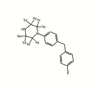 [2H]C1([2H])NC([2H])([2H])C([2H])([2H])N(c2ccc(Cc3ccc(F)cc3)cc2)C1([2H])[2H]